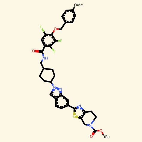 COc1ccc(COc2c(F)cc(C(=O)NCC3CCC(n4cc5ccc(-c6nc7c(s6)CN(C(=O)OC(C)(C)C)CC7)cc5n4)CC3)c(F)c2F)cc1